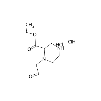 CCOC(=O)C1CNCCN1CC=O.Cl.Cl